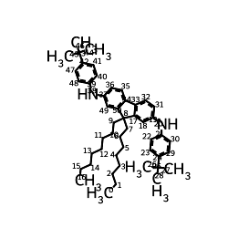 CCCCCCCCC1(CCCCCCCC)c2cc(Nc3ccc(C(C)(C)C)cc3)ccc2-c2ccc(Nc3ccc(C(C)(C)C)cc3)cc21